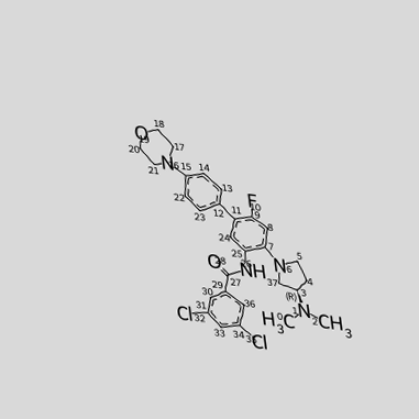 CN(C)[C@@H]1CCN(c2cc(F)c(-c3ccc(N4CCOCC4)cc3)cc2NC(=O)c2cc(Cl)cc(Cl)c2)C1